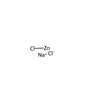 [Cl-].[Cl][Zn].[Na+]